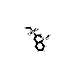 CCS(=O)(=O)c1cc2ccccc2[n+](OC)c1